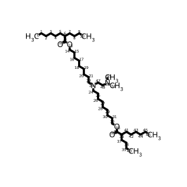 CCCCCCC(CCCC)C(=O)OCCCCCCCCCN(CCCCCCCCCOC(=O)C(CCCC)CCCCCC)CCN(C)C